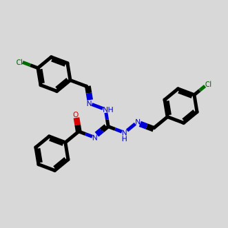 O=C(N=C(NN=Cc1ccc(Cl)cc1)NN=Cc1ccc(Cl)cc1)c1ccccc1